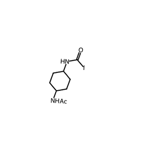 CC(=O)NC1CCC(NC(=O)I)CC1